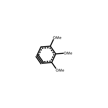 COc1c#ccc(OC)c1OC